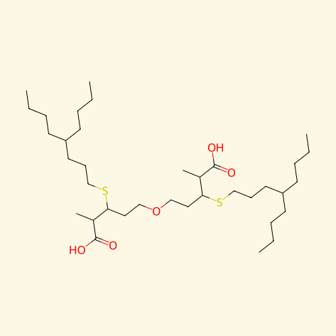 CCCCC(CCCC)CCCSC(CCOCCC(SCCCC(CCCC)CCCC)C(C)C(=O)O)C(C)C(=O)O